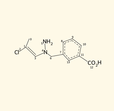 C/C(Cl)=C\N(N)Cc1cccc(C(=O)O)c1